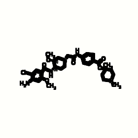 COc1cc(N)c(Cl)cc1C(=O)N[C@@H]1CCN(CC(=O)Nc2ccc(C(=O)OC3(C)CCN(C)CC3)cc2)C[C@@H]1OC